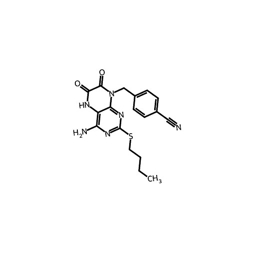 CCCCSc1nc(N)c2[nH]c(=O)c(=O)n(Cc3ccc(C#N)cc3)c2n1